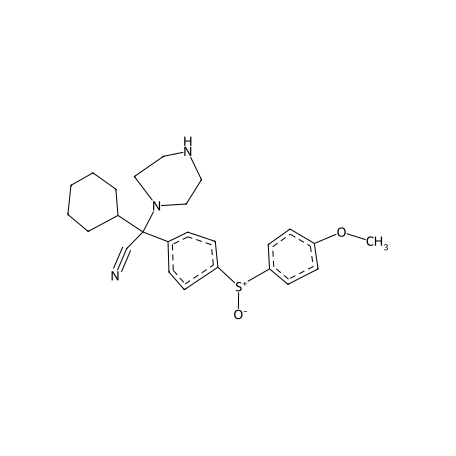 COc1ccc([S+]([O-])c2ccc(C(C#N)(C3CCCCC3)N3CCNCC3)cc2)cc1